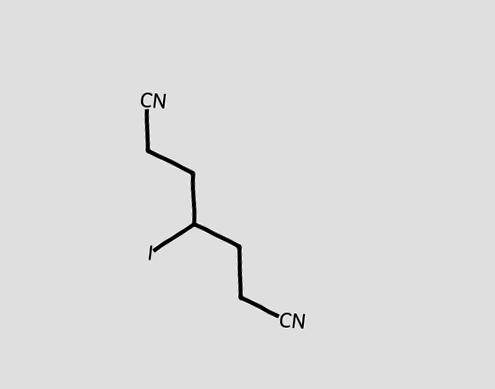 N#CCCC(I)CCC#N